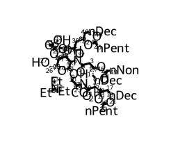 CCCCCCCCCCC[C@H](CC(=O)N[C@H]1[C@@H](OC[C@H](NC(=O)C[C@@H](CCCCCCCCCCC)OC(=O)CCCCC)C(=O)O)O[C@H](CO)[C@@H](OP(=O)(O)O)[C@@H]1OC(=O)C[C@@H](CCCCCCCCCCC)OC(=O)CCCCC)OC(=O)CCCCCCCCC.CCN(CC)CC